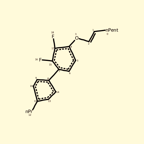 CCCCC/C=C/Oc1ccc(-c2ccc(CCC)cc2)c(F)c1F